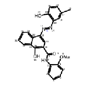 COc1ccccc1NC(=O)c1cc(/N=N/c2cc(C)ccc2O)c2ccccc2c1O